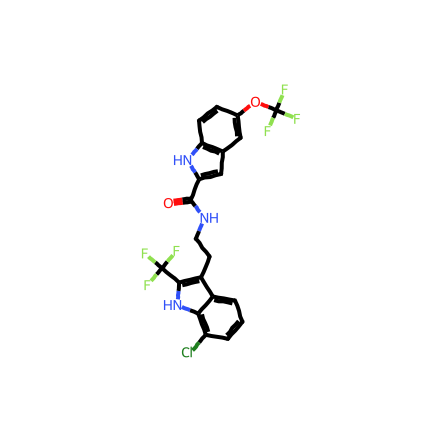 O=C(NCCc1c(C(F)(F)F)[nH]c2c(Cl)cccc12)c1cc2cc(OC(F)(F)F)ccc2[nH]1